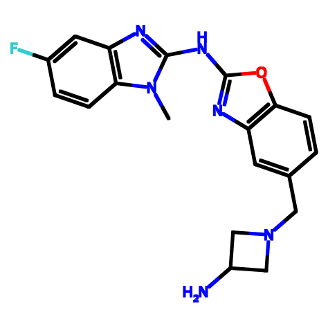 Cn1c(Nc2nc3cc(CN4CC(N)C4)ccc3o2)nc2cc(F)ccc21